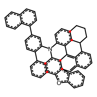 C1=c2cccc(C3CCCCC3)c2=C(c2ccccc2N(c2ccc3oc4ccccc4c3c2)c2cc(-c3cccc4ccccc34)ccc2-c2ccccc2)CC1